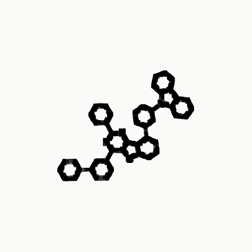 c1ccc(-c2cccc(-c3nc(-c4ccccc4)nc4c3oc3cccc(-c5cccc(-n6c7ccccc7c7ccccc76)c5)c34)c2)cc1